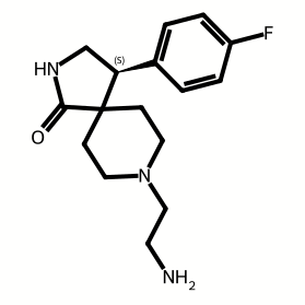 NCCN1CCC2(CC1)C(=O)NC[C@H]2c1ccc(F)cc1